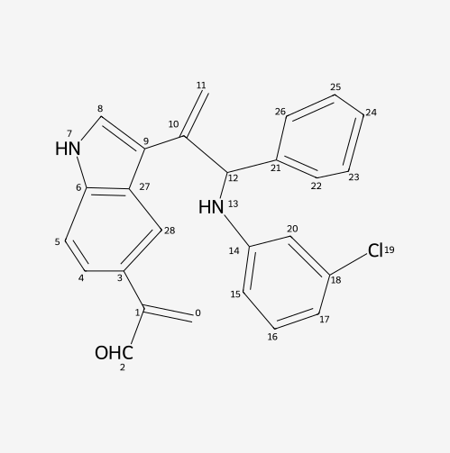 C=C(C=O)c1ccc2[nH]cc(C(=C)C(Nc3cccc(Cl)c3)c3ccccc3)c2c1